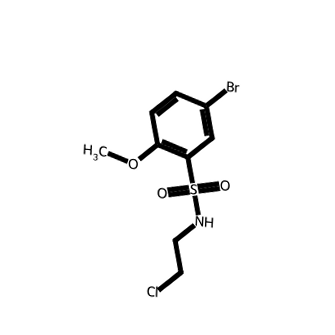 COc1ccc(Br)cc1S(=O)(=O)NCCCl